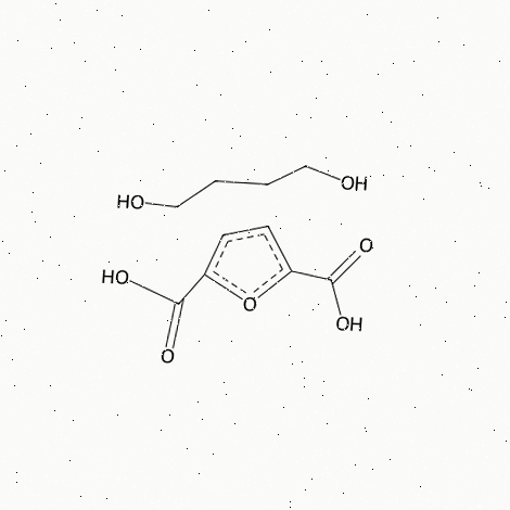 O=C(O)c1ccc(C(=O)O)o1.OCCCCO